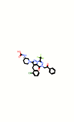 O=C(O)N[C@@H]1CCCN(c2nn3c(C(F)(F)F)nn(CC(=O)c4ccccc4)c(=O)c3c2Cc2ccccc2Cl)C1